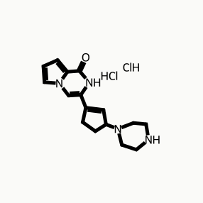 Cl.Cl.O=c1[nH]c(C2=CC(N3CCNCC3)CC2)cn2cccc12